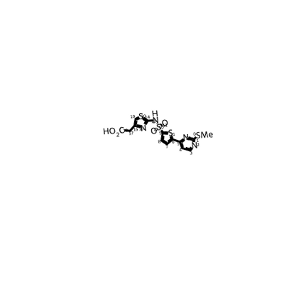 CSc1nccc(-c2ccc(S(=O)(=O)Nc3nc(CC(=O)O)cs3)s2)n1